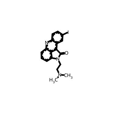 CN(C)CCN1C(=O)c2c3cc(I)ccc3nc3cccc1c23